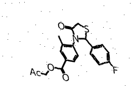 CC(=O)COC(=O)c1ccc(N2C(=O)CSC2c2ccc(F)cc2)c(C)c1